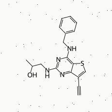 C#Cc1csc2c(NCc3ccccc3)nc(NCC(C)O)nc12